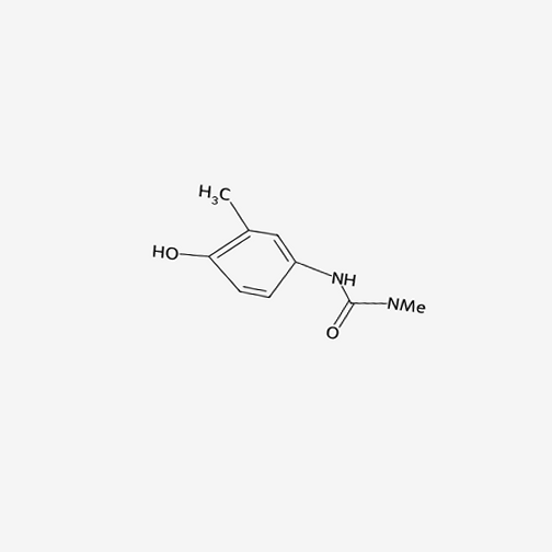 CNC(=O)Nc1ccc(O)c(C)c1